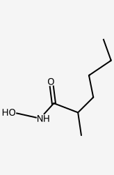 CCCCC(C)C(=O)NO